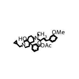 COc1cccc(C=CC(=O)N(C)[C@H]2CC[C@]3(O)CN(CC4CC4)CC[C@@]3(c3cccc(OC(C)=O)c3)C2)c1